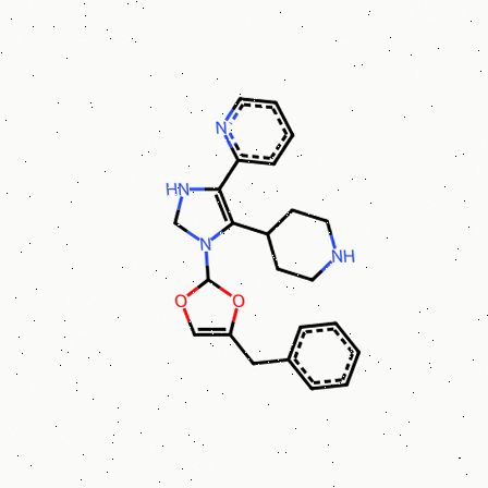 C1=C(Cc2ccccc2)OC(N2CNC(c3ccccn3)=C2C2CCNCC2)O1